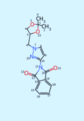 CC1(C)OCC(Cn2ccc(N3C(=O)c4ccccc4C3=O)n2)O1